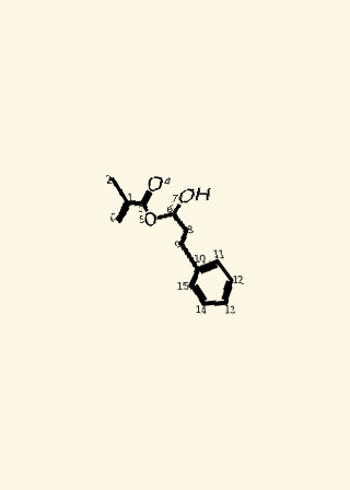 C=C(C)C(=O)OC(O)CCc1ccccc1